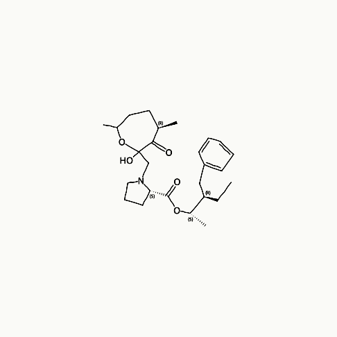 CC[C@H](Cc1ccccc1)[C@H](C)OC(=O)[C@@H]1CCCN1CC1(O)OC(C)CC[C@@H](C)C1=O